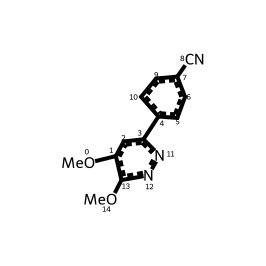 COc1cc(-c2ccc(C#N)cc2)nnc1OC